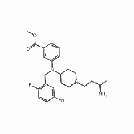 COC(=O)c1cccc(N(Cc2cc(Cl)ccc2F)C2CCN(CCC(C)N)CC2)c1